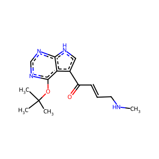 CNCC=CC(=O)c1c[nH]c2ncnc(OC(C)(C)C)c12